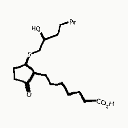 CC(C)CCC(O)CSC1CCC(=O)C1CCCCCCC(=O)O